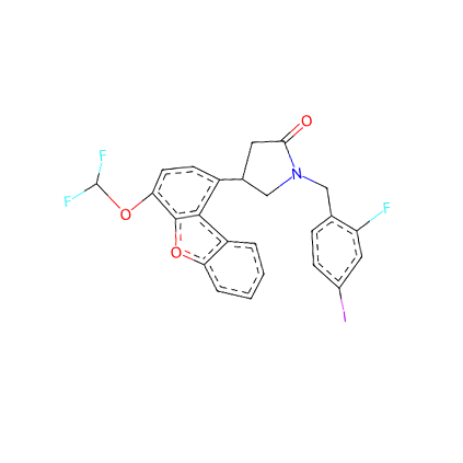 O=C1CC(c2ccc(OC(F)F)c3oc4ccccc4c23)CN1Cc1ccc(I)cc1F